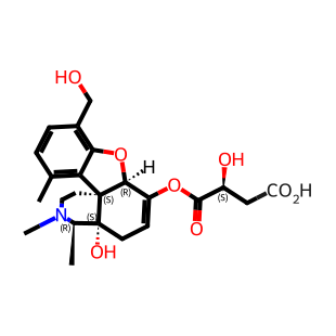 Cc1ccc(CO)c2c1[C@]13CCN(C)[C@H](C)[C@]1(O)CC=C(OC(=O)[C@@H](O)CC(=O)O)[C@@H]3O2